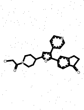 O=C1CCc2cc(-c3oc(C4CCN(C(=O)CCl)CC4)cc3-c3ccncc3)ccc21